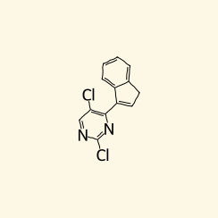 Clc1ncc(Cl)c(C2=CCc3ccccc32)n1